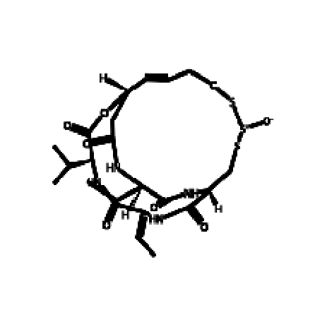 C/C=C1\NC(=O)[C@H]2CS[S+]([O-])SCC/C=C/[C@H](CC(=O)N[C@H](C(C)C)C(=O)N2)OC(=O)[C@H](C(C)C)NC1=O